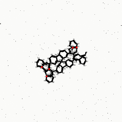 C=C/C(=C\C=C/C)N(c1ccccc1)c1ccc2c(c1)C1(c3cc(N(c4ccccc4)c4ccccc4)ccc3-2)c2cc(N(c3ccccc3)c3ccccc3)ccc2-c2ccc(N(c3ccccc3)c3ccccc3)cc21